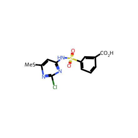 CSc1cc(NS(=O)(=O)c2cccc(C(=O)O)c2)nc(Cl)n1